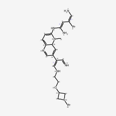 CC(C)C(=C/N)/C=C(\N)NC1=CC=C2N=CC(/C(C=N)=C/NCCOC3CN(C(C)C)C3)=CC2N1C